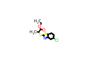 CCOC(=O)C(C)Sc1nc2cc(Cl)ccc2s1